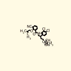 C=C(C)COc1c(C#N)cccc1C(=O)NCC(CCO[Si](C)(C)C(C)(C)C)c1ccc(Cl)c(Cl)c1